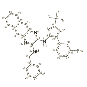 CC(C)(C)c1cc(Nc2nc3cc4ccccc4cc3nc2NCc2cccnc2)n(-c2cccc(F)c2)n1